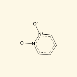 [O-][n+]1cccc[n+]1[O-]